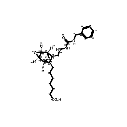 O=C(O)CCCCCC[C@@H]1[C@H](CNNC(=O)OCc2ccccc2)[C@H]2O[C@@H]1[C@H]1O[C@H]12